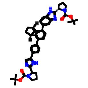 CC(C)(C)OC(=O)N1CCCC1c1ncc(-c2ccc(-c3ccc(-c4ccc5[nH]c([C@@H]6CCCN6C(=O)OC(C)(C)C)nc5c4)c4c3[C@@H]3CC[C@H]4C3)cc2)[nH]1